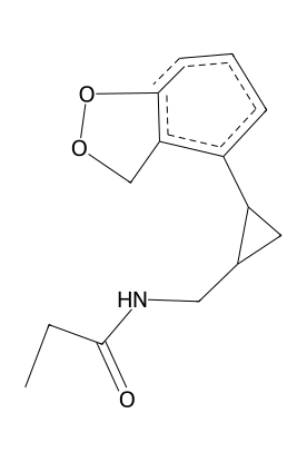 CCC(=O)NCC1CC1c1cccc2c1COO2